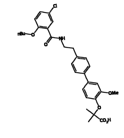 CCCCOc1ccc(Cl)cc1C(=O)NCCc1ccc(-c2ccc(OC(C)(C)C(=O)O)c(OC)c2)cc1